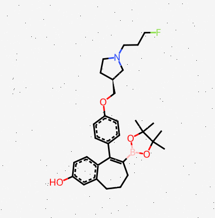 CC1(C)OB(C2=C(c3ccc(OC[C@H]4CCN(CCCF)C4)cc3)c3ccc(O)cc3CCC2)OC1(C)C